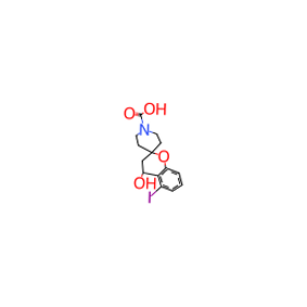 O=C(O)N1CCC2(CC1)CC(O)c1c(I)cccc1O2